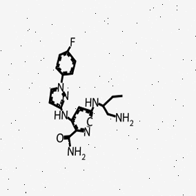 CCC(CN)Nc1cnc(C(N)=O)c(Nc2ccn(-c3ccc(F)cc3)n2)c1